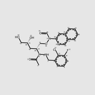 CC(=O)N(NCc1cccc(F)c1Cl)[C@@H](CON(C=O)c1cc2ccccc2cn1)C[C@@H](O)CO